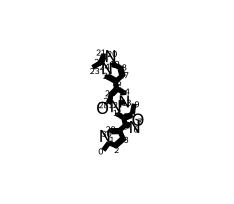 Cc1ccc(-c2noc(C)c2Cn2ncc(-c3ccc4ncc(C)n4c3)cc2=O)cn1